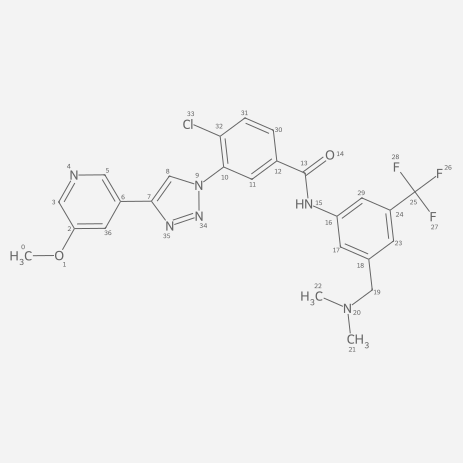 COc1cncc(-c2cn(-c3cc(C(=O)Nc4cc(CN(C)C)cc(C(F)(F)F)c4)ccc3Cl)nn2)c1